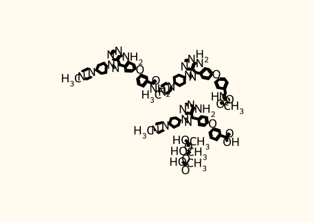 CC(=O)O.CC(=O)O.CC(=O)O.CN1CCN([C@H]2CC[C@@H](n3nc(-c4ccc(Oc5ccc(CNS(C)(=O)=O)cc5)cc4)c4c(N)ncnc43)CC2)CC1.CN1CCN([C@H]2CC[C@@H](n3nc(-c4ccc(Oc5cccc(C(=O)O)c5)cc4)c4c(N)ncnc43)CC2)CC1.CN1CCN([C@H]2CC[C@@H](n3nc(-c4ccc(Oc5cccc(C(N)=O)c5)cc4)c4c(N)ncnc43)CC2)CC1